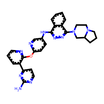 Nc1nccc(-c2cccnc2Oc2ccc(Nc3nnc(N4CCN5CCCC5C4)c4ccccc34)cn2)n1